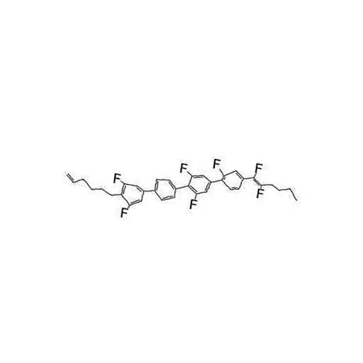 C=CCCCCc1c(F)cc(-c2ccc(-c3c(F)cc(-c4ccc(/C(F)=C(\F)CCCC)cc4F)cc3F)cc2)cc1F